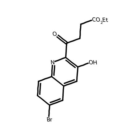 CCOC(=O)CCC(=O)c1nc2ccc(Br)cc2cc1O